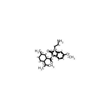 COc1ccc2c(c1)n(CCN)c(=O)n2C(=O)C1CC(C)CCC1C(C)C